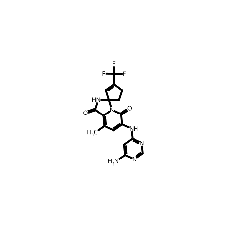 Cc1cc(Nc2cc(N)ncn2)c(=O)n2c1C(=O)NC21C=C(C(F)(F)F)CC1